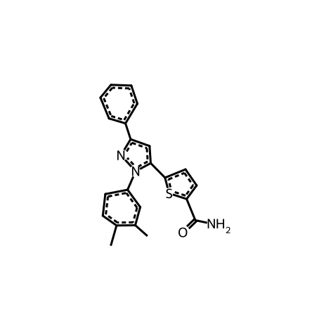 Cc1ccc(-n2nc(-c3ccccc3)cc2-c2ccc(C(N)=O)s2)cc1C